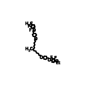 CCOc1ccc(OCC2CCC(OCCCCCCC(C)CCCCCCOC3CCC(COc4ccc(C)c(F)c4F)CC3)CC2)c(F)c1F